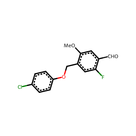 COc1cc(C=O)c(F)cc1COc1ccc(Cl)cc1